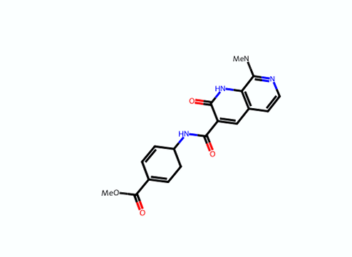 CNc1nccc2cc(C(=O)NC3C=CC(C(=O)OC)=CC3)c(=O)[nH]c12